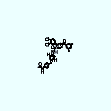 CC(=O)Nc1ccc(CN2C[C@H]3C[C@@H]2C[C@H]3NCC(=O)N2CCN(C(=O)c3cc(C)cc(C)c3)CC2c2ccc(Cl)c(Cl)c2)cc1